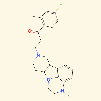 Cc1cc(F)ccc1C(=O)CCN1CCC2C(C1)c1cccc3c1N2CCN3C